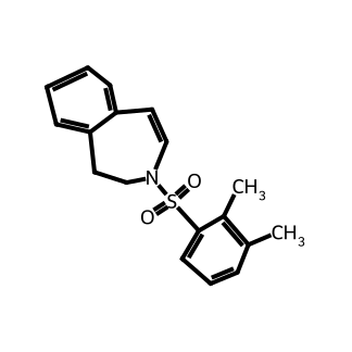 Cc1cccc(S(=O)(=O)N2C=Cc3ccccc3CC2)c1C